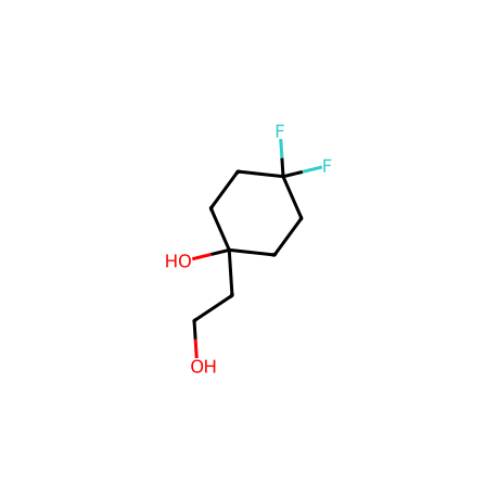 OCCC1(O)CCC(F)(F)CC1